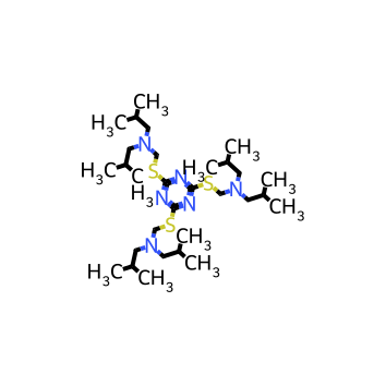 CC(C)CN(CSc1nc(SCN(CC(C)C)CC(C)C)nc(SCN(CC(C)C)CC(C)C)n1)CC(C)C